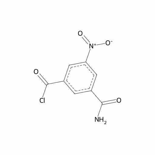 NC(=O)c1cc(C(=O)Cl)cc([N+](=O)[O-])c1